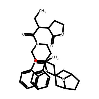 CCC(C(=O)N1CCC(CCN2C3CCC2CC(n2c(C)nc4ccccc42)C3)(c2ccccc2)CC1)C1CCOC1=O